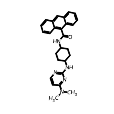 CN(C)c1ccnc(NC2CCC(NC(=O)c3c4ccccc4cc4ccccc34)CC2)n1